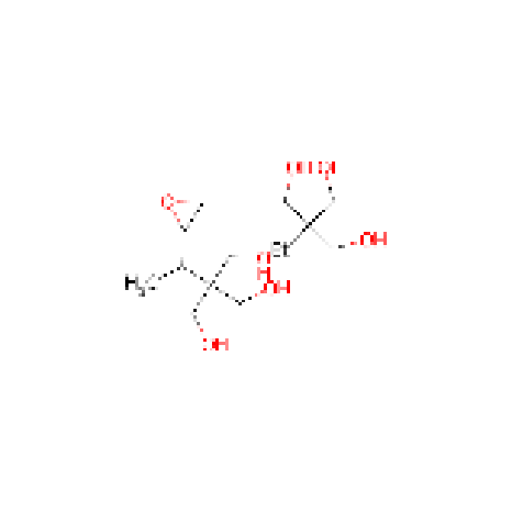 CC(C1CO1)C(CO)(CO)CO.CCC(CO)(CO)CO